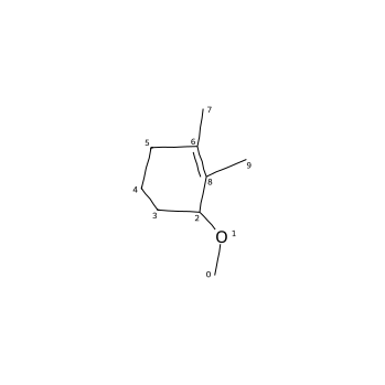 COC1CCCC(C)=C1C